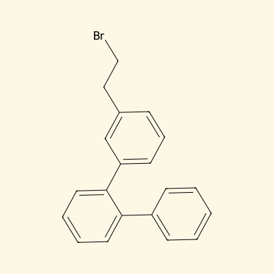 BrCCc1cccc(-c2ccccc2-c2ccccc2)c1